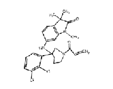 C=CC(=O)N1CCC(Nc2ccc3c(c2)N(C)C(=O)C3(C)C)(c2cccc(Cl)c2Cl)C1